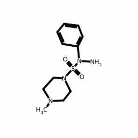 CN1CCN(S(=O)(=O)N(N)c2ccccc2)CC1